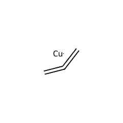 C=C=C.[Cu]